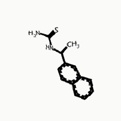 CC(NC(N)=S)c1ccc2ccccc2c1